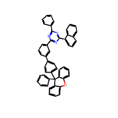 c1ccc(-c2nc(-c3cccc(-c4ccc(C5(c6ccccc6)c6ccccc6Oc6ccccc65)cc4)c3)nc(-c3cccc4ccccc34)n2)cc1